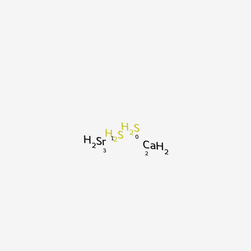 S.S.[CaH2].[SrH2]